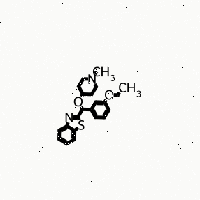 CCOc1cccc(C(OC2CCN(C)CC2)c2nc3ccccc3s2)c1